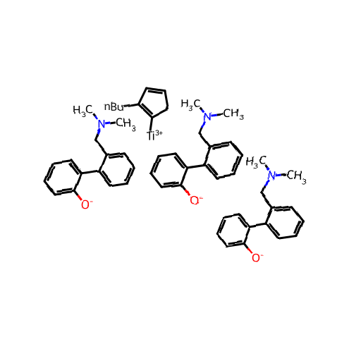 CCCCC1=[C]([Ti+3])CC=C1.CN(C)Cc1ccccc1-c1ccccc1[O-].CN(C)Cc1ccccc1-c1ccccc1[O-].CN(C)Cc1ccccc1-c1ccccc1[O-]